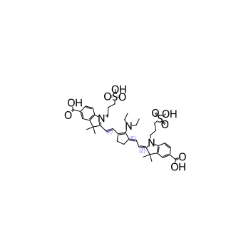 CCN(CC)C1=C(/C=C/C2=[N+](CCCS(=O)(=O)O)c3ccc(C(=O)O)cc3C2(C)C)CC/C1=C\C=C1/N(CCCS(=O)(=O)O)c2ccc(C(=O)O)cc2C1(C)C